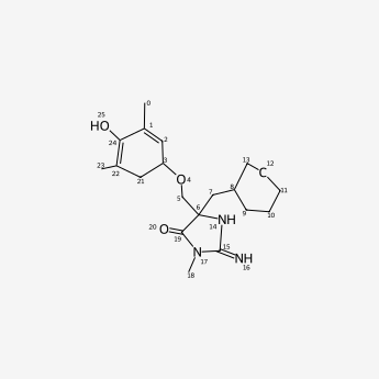 CC1=CC(OCC2(CC3CCCCC3)NC(=N)N(C)C2=O)CC(C)=C1O